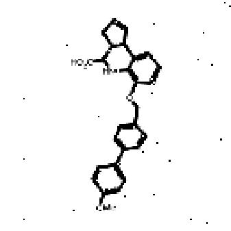 COc1ccc(-c2ccc(COc3cccc4c3NC(C(=O)O)C3CC=CC43)cc2)cc1